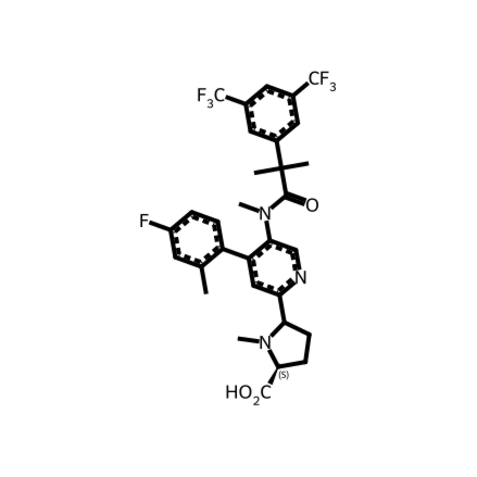 Cc1cc(F)ccc1-c1cc(C2CC[C@@H](C(=O)O)N2C)ncc1N(C)C(=O)C(C)(C)c1cc(C(F)(F)F)cc(C(F)(F)F)c1